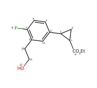 CCOC(=O)C1CC1c1ccc(F)c(CCO)c1